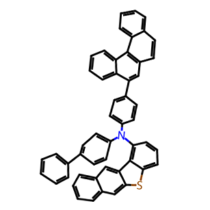 c1ccc(-c2ccc(N(c3ccc(-c4cc5ccc6ccccc6c5c5ccccc45)cc3)c3cccc4sc5cc6ccccc6cc5c34)cc2)cc1